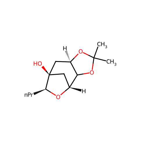 CCC[C@@H]1O[C@@H]2C[C@@]1(O)C[C@H]1OC(C)(C)OC21